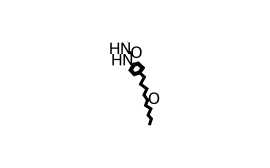 CCCCCC(=O)CCCCc1ccc(NC(=O)NC)cc1